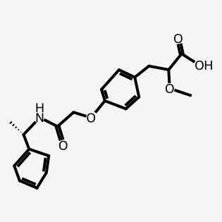 COC(Cc1ccc(OCC(=O)N[C@@H](C)c2ccccc2)cc1)C(=O)O